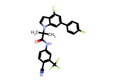 CC(C)(C(=O)Nc1ccc(C#N)c(C(F)(F)F)c1)n1ccc2c(F)cc(-c3ccc(F)cc3)cc21